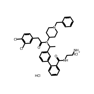 CC(c1cccc(-c2ccccc2C(=O)NCCN)c1)N(C(=O)Cc1ccc(Cl)c(Cl)c1)C1CCN(Cc2ccccc2)CC1.Cl.Cl